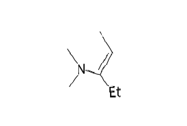 C/C=C(/CC)N(C)C